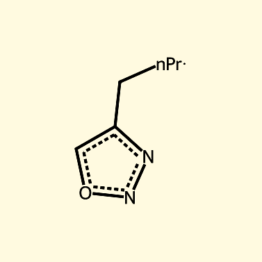 CC[CH]Cc1conn1